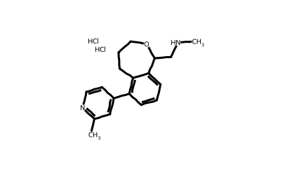 CNCC1OCCCc2c(-c3ccnc(C)c3)cccc21.Cl.Cl